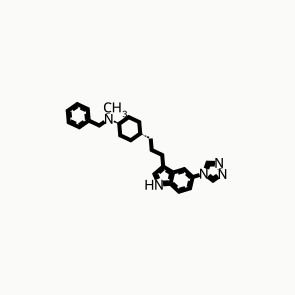 CN(Cc1ccccc1)[C@H]1CC[C@@H](CCCc2c[nH]c3ccc(-n4cnnc4)cc23)CC1